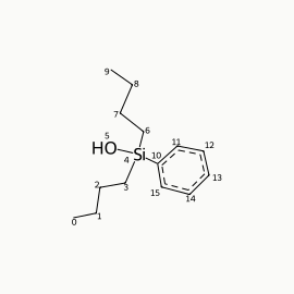 CCCC[Si](O)(CCCC)c1ccccc1